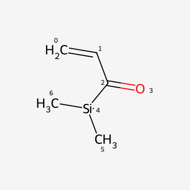 C=CC(=O)[Si](C)C